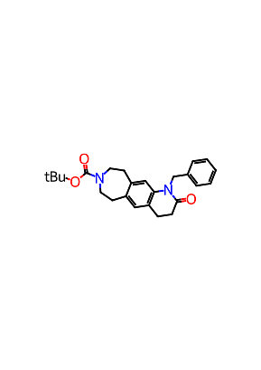 CC(C)(C)OC(=O)N1CCc2cc3c(cc2CC1)N(Cc1ccccc1)C(=O)CC3